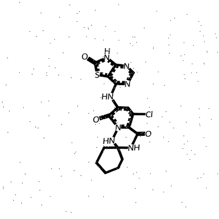 O=C1NC2(CCCCC2)Nn2c1c(Cl)cc(Nc1ncnc3[nH]c(=O)sc13)c2=O